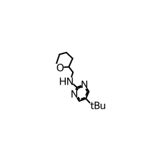 CC(C)(C)c1cnc(NCC2CCCCO2)nc1